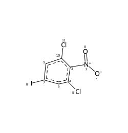 O=[N+]([O-])c1c(Cl)cc(I)cc1Cl